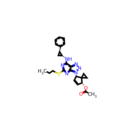 CCCSc1nc(N[C@@H]2C[C@H]2c2ccccc2)c2nnn([C@H]3C=C[C@@H](OC(C)=O)C34CC4)c2n1